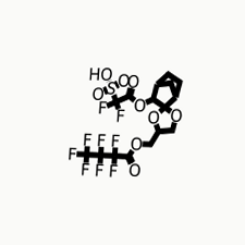 O=C(OCC1COC2(O1)C1CCC(C1)C2OC(=O)C(F)(F)S(=O)(=O)O)C(F)(F)C(F)(F)C(F)(F)F